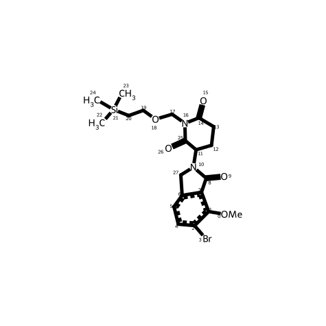 COc1c(Br)ccc2c1C(=O)N(C1CCC(=O)N(COCC[Si](C)(C)C)C1=O)C2